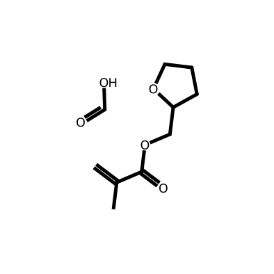 C=C(C)C(=O)OCC1CCCO1.O=CO